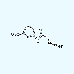 COc1ccc2nc(CN=[N+]=[N-])[nH]c2c1